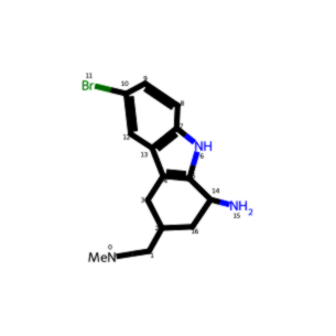 CNCC1Cc2c([nH]c3ccc(Br)cc23)C(N)C1